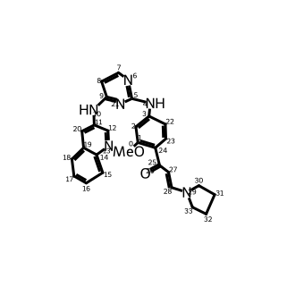 COc1cc(Nc2nccc(Nc3cnc4ccccc4c3)n2)ccc1C(=O)C=CN1CCCC1